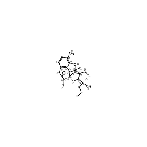 CCC[C@](C)(O)C1C[C@@]23CC[C@]1(OC)[C@@]1(C)Oc4c(O)ccc5c4[C@]21CCC[C@@H]3C5